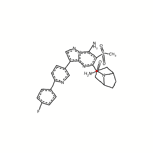 CS(=O)(=O)c1c(C2CC3CCC(C2)N3C(N)=O)nc2c(-c3ccc(-c4ccc(F)cc4)nc3)cnn2c1N